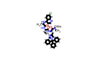 CON(C)C(=O)[C@H](Cc1cn(C(c2ccccc2)(c2ccccc2)c2ccccc2)cn1)NC(=O)[C@H](CC(C)C)NC(=O)[C@H](C)Nc1ccnc2cc(Cl)ccc12